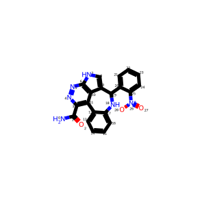 NC(=O)c1nnc2[nH]cc3c2c1-c1ccccc1NC3c1ccccc1[N+](=O)[O-]